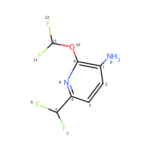 Nc1ccc(C(F)F)nc1OC(F)F